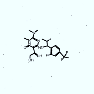 CN/C(=N\C(NC(c1ccc(C(C)(F)F)cc1F)C(C)C)=C(/C=O)C(=N)CO)N(C)C